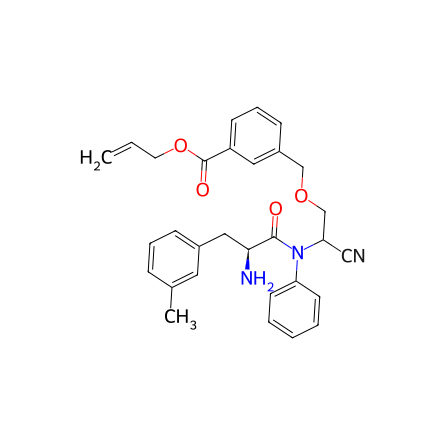 C=CCOC(=O)c1cccc(COCC(C#N)N(C(=O)[C@@H](N)Cc2cccc(C)c2)c2ccccc2)c1